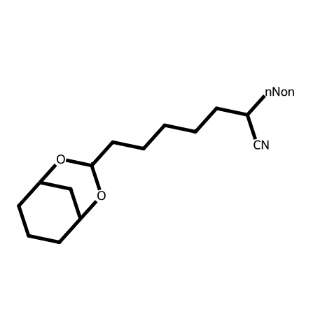 [CH2]CCCCCCCCC(C#N)CCCCC[C]1OC2CCCC(C2)O1